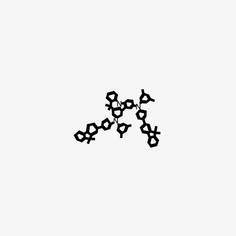 Cc1cc(C)cc(N(C2=CC3=C4C(C2)c2cc(N(c5ccc(-c6ccc7c(c6)C(C)(C)c6ccccc6-7)cc5)c5cc(C)cc(C)c5)ccc2N4c2ccccc2C3(C)C)c2ccc(-c3ccc4c(c3)C(C)(C)c3ccccc3-4)cc2)c1